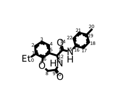 CCc1cccc2c1OCC(=O)NC2C(=O)Nc1ccc(C)cc1